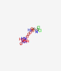 CCOCCNC(=O)C(O)C(O)C(=O)NCCOCCOCCOCCNS(=O)(=O)c1cccc(C2CN(C)Cc3c(Cl)cc(Cl)cc32)c1